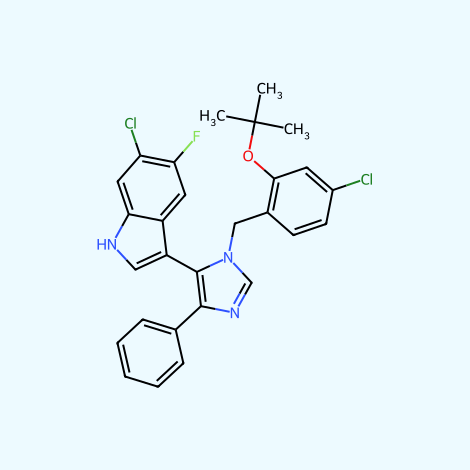 CC(C)(C)Oc1cc(Cl)ccc1Cn1cnc(-c2ccccc2)c1-c1c[nH]c2cc(Cl)c(F)cc12